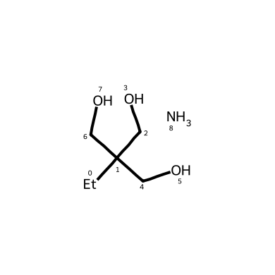 CCC(CO)(CO)CO.N